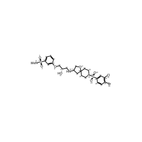 CNS(=O)(=O)c1cccc(OC[C@@H](O)CNC2COC3(CCN(S(=O)(=O)c4ccc(Br)c(Cl)c4)CC3)C2)c1